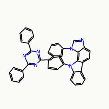 c1ccc(-c2nc(-c3ccccc3)nc(-c3ccc(-n4c5ccccc5c5ccc6ncn(-c7ccccc7)c6c54)cc3)n2)cc1